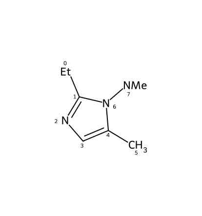 CCc1ncc(C)n1NC